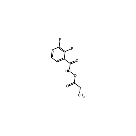 CCC(=O)ONC(=O)c1cccc(F)c1F